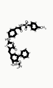 COc1cc(C=C2SC(Nc3ccc(CC(=O)NS(=O)(=O)c4ccc(C)cc4)cc3)=NC2=O)cc(-c2ccccc2)c1OC(C)C